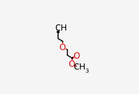 C#CCCOCCC(=O)OC